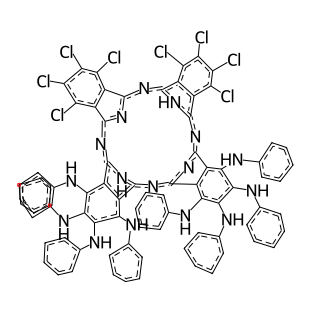 Clc1c(Cl)c(Cl)c2c(c1Cl)-c1nc-2nc2[nH]c(nc3nc(nc4[nH]c(n1)c1c(Cl)c(Cl)c(Cl)c(Cl)c41)-c1c(Nc4ccccc4)c(Nc4ccccc4)c(Nc4ccccc4)c(Nc4ccccc4)c1-3)c1c(Nc3ccccc3)c(Nc3ccccc3)c(Nc3ccccc3)c(Nc3ccccc3)c21